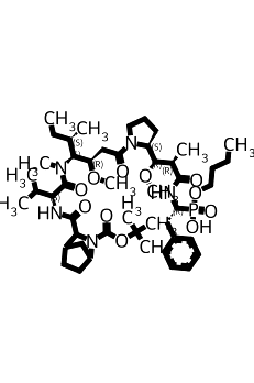 CCCCOP(=O)(O)[C@H](Cc1ccccc1)NC(=O)[C@H](C)[C@@H](OC)[C@@H]1CCCN1C(=O)C[C@@H](OC)[C@H]([C@@H](C)CC)N(C)C(=O)[C@@H](NC(=O)C1C2CCC(C2)N1C(=O)OC(C)(C)C)C(C)C